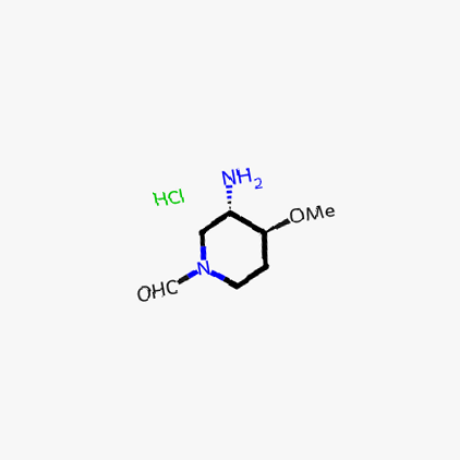 CO[C@H]1CCN(C=O)C[C@@H]1N.Cl